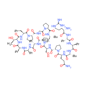 CC[C@H](C)[C@H](NC(=O)[C@@H]1CCCN1C(=O)CNC(=O)[C@@H]1CCCN1C(=O)[C@H](CC(C)C)NC(=O)[C@@H](NC(=O)[C@@H](NC(=O)[C@@H](NC(=O)[C@@H](NC(=O)[C@@H]1CCCN1C(=O)[C@H](CO)NC(=O)[C@@H]1CCCN1C(=O)[C@H](CCC(N)=O)NC(=O)[C@@H](NC(=O)[C@@H](NC(=O)[C@@H](NC(=O)[C@@H](N)CCCNC(=N)N)C(C)C)C(C)C)[C@@H](C)CC)C(C)C)C(C)C)C(C)C)[C@@H](C)O)C(=O)O